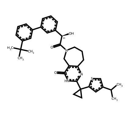 CC(C)c1csc(C2(c3nc4c(c(=O)[nH]3)CN(C(=O)[C@H](O)c3cccc(-c5cccc(C(C)(C)C)c5)c3)CCC4)CC2)c1